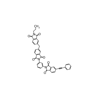 CCCN1C(=O)c2ccc(Cc3ccc4c(c3)C(=O)N(c3cccc(N5C(=O)c6ccc(C#Cc7ccccc7)cc6C5=O)c3)C4=O)cc2C1=O